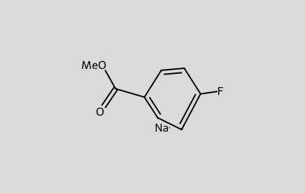 COC(=O)c1ccc(F)cc1.[Na]